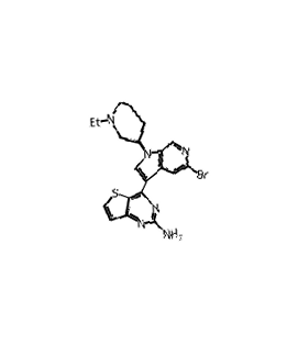 CCN1CCCC(n2cc(-c3nc(N)nc4ccsc34)c3cc(Br)ncc32)C1